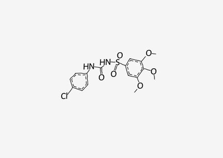 COc1cc(S(=O)(=O)NC(=O)Nc2ccc(Cl)cc2)cc(OC)c1OC